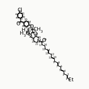 CCC=CCC=CCC=CCC=CCC=CCCCC(=O)N1CCC(CN(C)C(=O)C(C)(C)Oc2ccc(C(=O)c3ccc(Cl)cc3)cc2)CC1